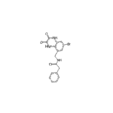 O=C(Cc1ccccc1)NCc1cc(Br)cc2[nH]c(=O)c(=O)[nH]c12